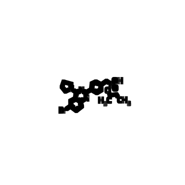 CCC(C)OP(=O)(O)Cc1ccc(-c2nc(N3CCCC3)c3cc(Br)ccc3n2)cc1